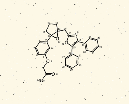 O=C(O)COc1cccc(C23CCCC2(Cc2nc(-c4ccccc4)c(-c4ccccc4)o2)O3)c1